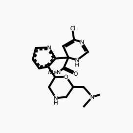 CNC(=O)C1(c2ncccc2C2CNCC(CN(C)C)O2)C=C(Cl)N=CN1